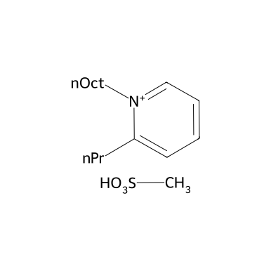 CCCCCCCC[n+]1ccccc1CCC.CS(=O)(=O)O